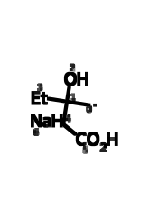 [CH2]C(O)(CC)CC(=O)O.[NaH]